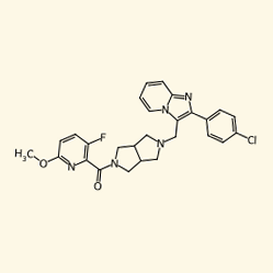 COc1ccc(F)c(C(=O)N2CC3CN(Cc4c(-c5ccc(Cl)cc5)nc5ccccn45)CC3C2)n1